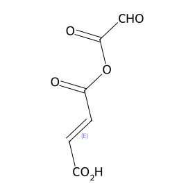 O=CC(=O)OC(=O)/C=C/C(=O)O